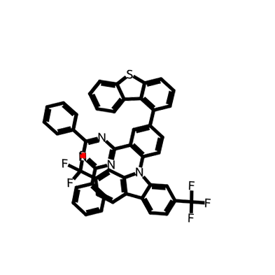 FC(F)(F)c1ccc2c3ccc(C(F)(F)F)cc3n(-c3ccc(-c4cccc5sc6ccccc6c45)cc3-c3nc(-c4ccccc4)nc(-c4ccccc4)n3)c2c1